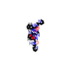 CC(C)(NC(=O)c1nn(-c2ncc[n+]([O-])c2-c2c(-n3nc(C(=O)NC(C)(C)c4ccccn4)c4c3[C@H]3CCC[C@H]3C4)ncc[n+]2[O-])c2c1C[C@@H]1CCC[C@H]21)c1ccccn1